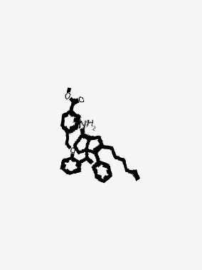 C=C(c1ccccc1OCc1ccc(C(=O)OC)cc1)C12CCC(N)C1CC(CCCCCC)=C2c1ccccc1